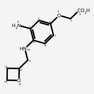 Nc1cc(OCC(=O)O)ccc1NCC1CCO1